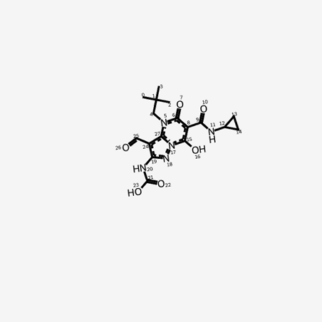 CC(C)(C)Cn1c(=O)c(C(=O)NC2CC2)c(O)n2nc(NC(=O)O)c(C=O)c12